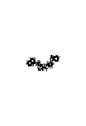 CC(Nc1nccc(-n2cnc3ccccc32)n1)C1CN(C(=O)Nc2cccc3ccccc23)CCN1